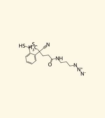 CC(C#N)(CCC(=O)NCCCN=[N+]=[N-])c1ccccc1C(=S)S